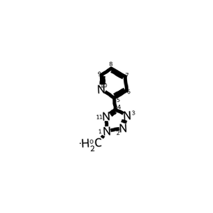 [CH2]n1nnc(-c2ccccn2)n1